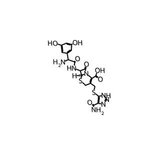 NC(=O)c1nn[nH]c1SCC1=C(C(=O)O)N2C(=O)C(NC(=O)C(N)c3cc(O)cc(O)c3)[C@H]2SC1